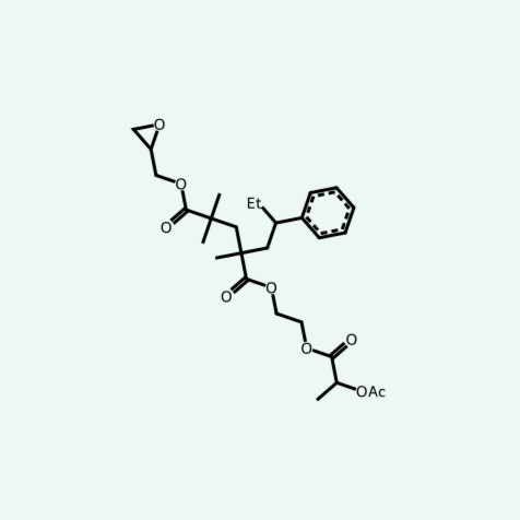 CCC(CC(C)(CC(C)(C)C(=O)OCC1CO1)C(=O)OCCOC(=O)C(C)OC(C)=O)c1ccccc1